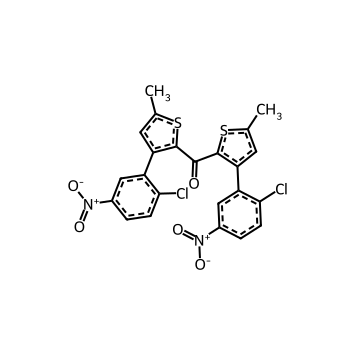 Cc1cc(-c2cc([N+](=O)[O-])ccc2Cl)c(C(=O)c2sc(C)cc2-c2cc([N+](=O)[O-])ccc2Cl)s1